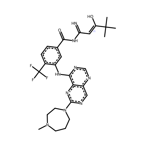 CN1CCCN(c2ncc3ncnc(Nc4cc(C(=O)NC(=N)/C=C(\O)C(C)(C)C)ccc4C(F)(F)F)c3n2)CC1